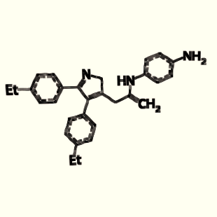 C=C(CC1=C(c2ccc(CC)cc2)C(c2ccc(CC)cc2)=NC1)Nc1ccc(N)cc1